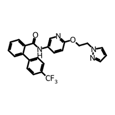 O=C(Nc1ccc(OCCn2cccn2)nc1)c1ccccc1-c1ccc(C(F)(F)F)cc1